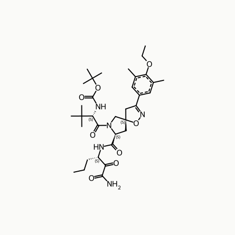 CCC[C@H](NC(=O)[C@@H]1C[C@]2(CC(c3cc(C)c(OCC)c(C)c3)=NO2)CN1C(=O)[C@@H](NC(=O)OC(C)(C)C)C(C)(C)C)C(=O)C(N)=O